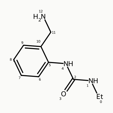 CCNC(=O)Nc1cc[c]cc1CN